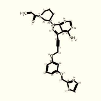 C=CC(=O)N1CCC[C@@H](n2nc(C#CCOc3cccc(OCc4nccs4)c3)c3c(N)ncnc32)C1